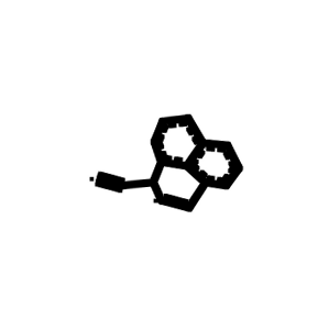 [C]#CC1[C]=Cc2cccc3cccc1c23